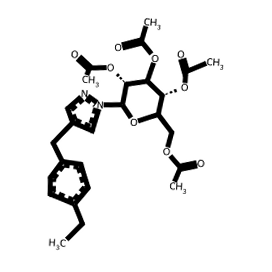 CCc1ccc(Cc2cnn(C3OC(COC(C)=O)[C@@H](OC(C)=O)C(OC(C)=O)[C@H]3OC(C)=O)c2)cc1